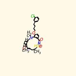 CCN1C[C@@H]2CC[C@H]2[C@@H](OC)/C=C/C[C@H](C)C/[SH](=O)=N\C(=O)c2ccc(OCCCCc3cccc(Cl)c3)c1c2